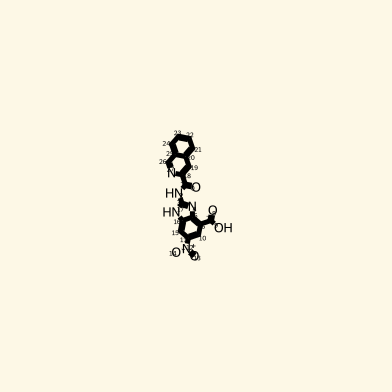 O=C(Nc1nc2c(C(=O)O)cc([N+](=O)[O-])cc2[nH]1)c1cc2ccccc2cn1